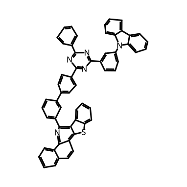 c1ccc(-c2nc(-c3ccc(-c4cccc(-c5nc6c7ccccc7ccc6c6sc7ccccc7c56)c4)cc3)nc(-c3cccc(-n4c5ccccc5c5ccccc54)c3)n2)cc1